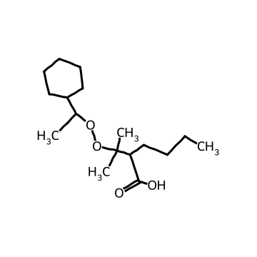 CCCCC(C(=O)O)C(C)(C)OOC(C)C1CCCCC1